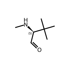 CN[C@H](C=O)C(C)(C)C